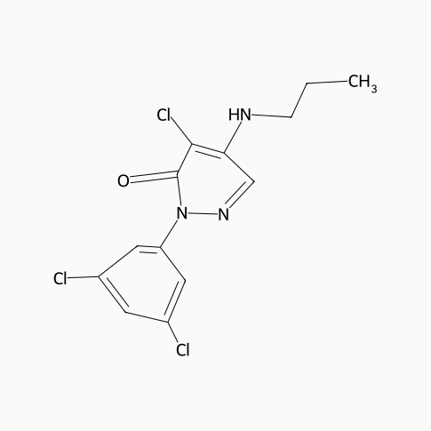 CCCNc1cnn(-c2cc(Cl)cc(Cl)c2)c(=O)c1Cl